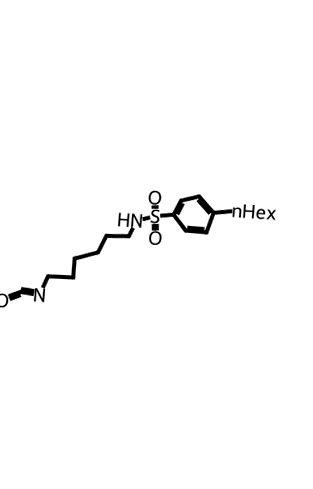 CCCCCCc1ccc(S(=O)(=O)NCCCCCCN=C=O)cc1